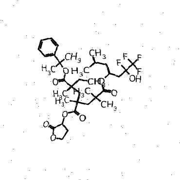 CCC(C)(CC(C)(CC(C)(C)C(=O)OC(CC(C)C)CC(O)(F)C(F)(F)F)C(=O)OC1CCOC1=O)C(=O)OC(C)(C)c1ccccc1